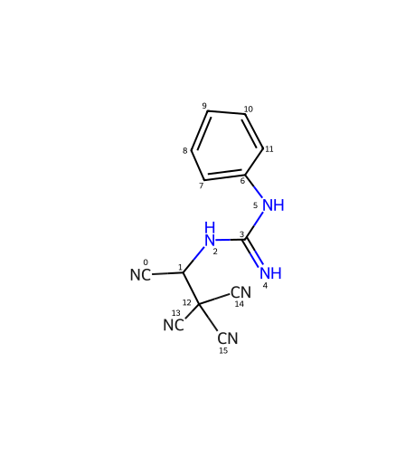 N#CC(NC(=N)Nc1ccccc1)C(C#N)(C#N)C#N